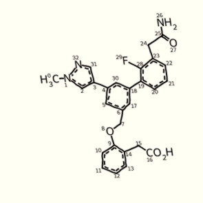 Cn1cc(-c2cc(COc3ccccc3CC(=O)O)cc(-c3cccc(CC(N)=O)c3F)c2)cn1